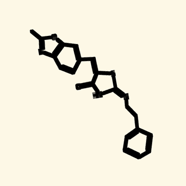 Cc1nc2ccc(C=C3SC(=NCCc4ccccc4)NC3=O)cc2o1